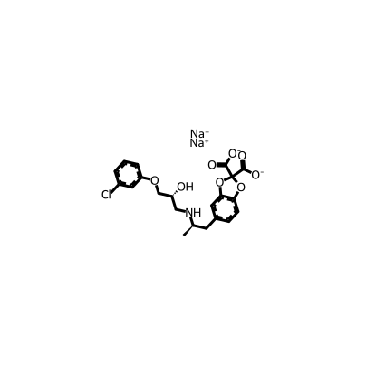 C[C@H](Cc1ccc2c(c1)OC(C(=O)[O-])(C(=O)[O-])O2)NC[C@@H](O)COc1cccc(Cl)c1.[Na+].[Na+]